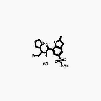 CNS(=O)(=O)c1cc2c(c(C(=O)NC(CC(C)C)C3CCCN3)c1)OC(C)C2.Cl